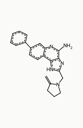 C=C1CCCN1Cc1nc2c(N)nc3cc(-c4ccccc4)ccc3c2[nH]1